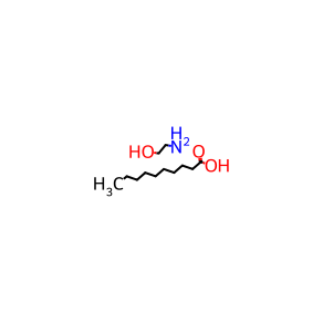 CCCCCCCCCC(=O)O.NCCO